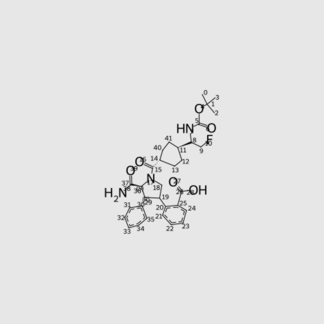 CC(C)(C)OC(=O)NC(CF)[C@H]1CC[C@H](C(=O)N2CC(c3ccccc3C(=O)O)[C@H](c3ccccc3)[C@H]2C(N)=O)CC1